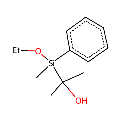 CCO[Si](C)(c1ccccc1)C(C)(C)O